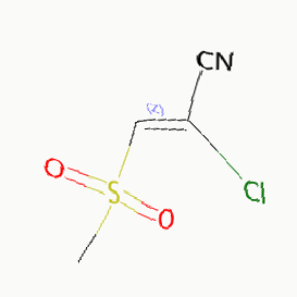 CS(=O)(=O)/C=C(\Cl)C#N